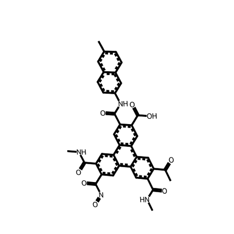 CNC(=O)c1cc2c(cc1C(C)=O)c1cc(C(=O)O)c(C(=O)Nc3ccc4cc(C)ccc4c3)cc1c1cc(C(=O)NC)c(C(=O)N=O)cc21